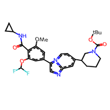 COc1cc(-c2cnc3cc(C4CCCN(C(=O)OC(C)(C)C)C4)ccn23)cc(OC(F)F)c1C(=O)NC1CC1